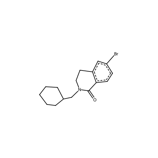 O=C1c2ccc(Br)cc2CCN1CC1CCCCC1